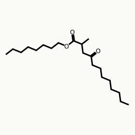 CCCCCCCCOC(=O)C(C)CC(=O)CCCCCCCC